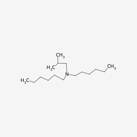 CCCCCCN(CCCCCC)CC(C)C